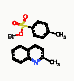 CCOS(=O)(=O)c1ccc(C)cc1.Cc1ccc2ccccc2n1